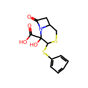 O=C1CC2CSC(Sc3ccccc3)C(O)(C(=O)O)N12